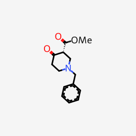 COC(=O)[C@@H]1CN(Cc2ccccc2)CCC1=O